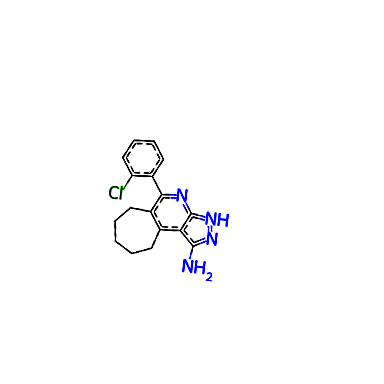 Nc1n[nH]c2nc(-c3ccccc3Cl)c3c(c12)CCCCC3